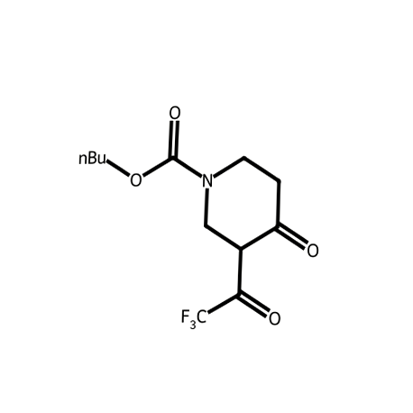 CCCCOC(=O)N1CCC(=O)C(C(=O)C(F)(F)F)C1